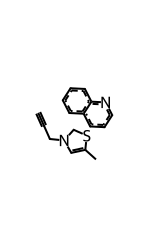 C#CCN1C=C(C)SC1.c1ccc2ncccc2c1